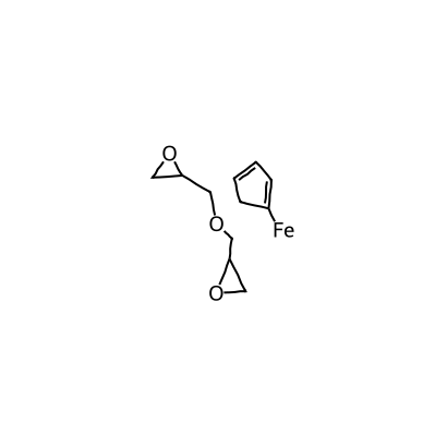 C(OCC1CO1)C1CO1.[Fe][C]1=CC=CC1